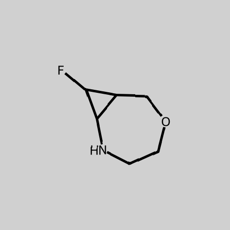 FC1C2COCCNC12